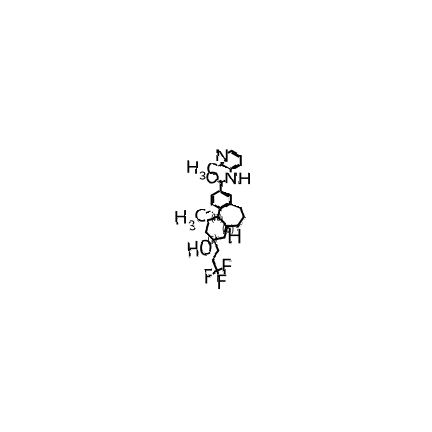 CC[C@@]12CC[C@](O)(CCC(F)(F)F)C[C@@H]1CCCc1cc(C(=O)Nc3cccnc3C)ccc12